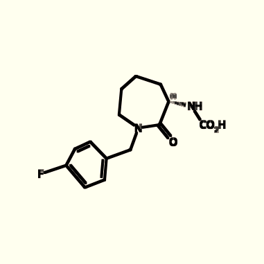 O=C(O)N[C@H]1CCCCN(Cc2ccc(F)cc2)C1=O